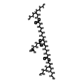 CCCCCC(CCCC)CCOC(=O)CCCCCCCC(CCCCCCCC(=O)OCCC(CCCCC)CCCCC)OC(=O)CCCN(C)C